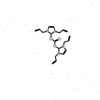 C=CCN1C=CN(CC=C)C1OC(=O)OC1N(CC=C)C=CN1CC=C